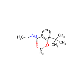 CCNC(=O)c1cccc(C(C)(C)C)c1OC